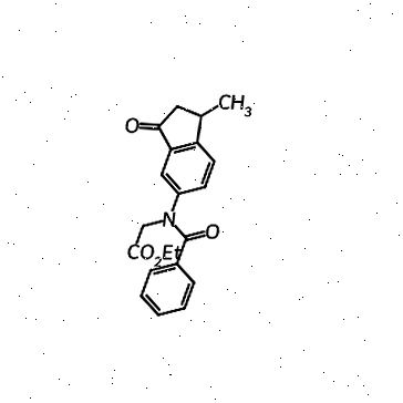 CCOC(=O)CN(C(=O)c1ccccc1)c1ccc2c(c1)C(=O)CC2C